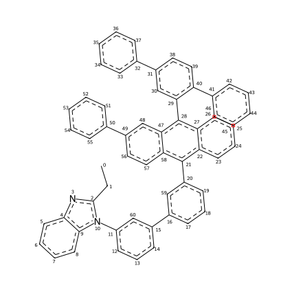 CCc1nc2ccccc2n1-c1cccc(-c2cccc(-c3c4ccccc4c(-c4cc(-c5ccccc5)ccc4-c4ccccc4)c4cc(-c5ccccc5)ccc34)c2)c1